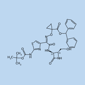 CC(C)(C)OC(=O)Nc1nc(C(=NOC2(C(=O)OC(c3ccccc3)c3ccccc3)CC2)C(=O)N[C@@H]2C(=O)N[C@@H]2CO)cs1